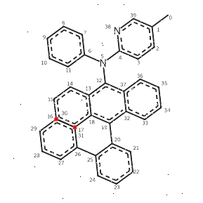 Cc1ccc(N(c2ccccc2)c2c3ccccc3c(-c3ccccc3-c3ccccc3)c3ccccc23)nc1